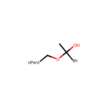 CCCCCCOC(C)(O)C(C)C